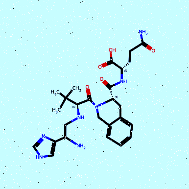 CC(C)(C)[C@H](NCC(N)c1c[nH]cn1)C(=O)N1Cc2ccccc2C[C@H]1C(=O)N[C@@H](CCC(N)=O)C(=O)O